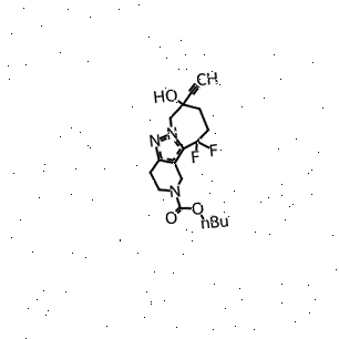 C#CC1(O)CCC(F)(F)c2c3c(nn2C1)CCN(C(=O)OCCCC)C3